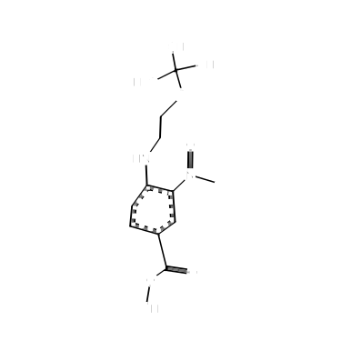 COC(=O)c1ccc(NCCOC(C)(C)C)c([N+](=O)[O-])c1